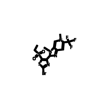 CCS(=O)(=O)c1sc(Br)nc1C1N=C2C=C(C(F)(F)F)N(C)C=C2N1C